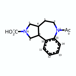 CC(=O)N1CCC2CN(C(=O)O)CC2c2ccccc21